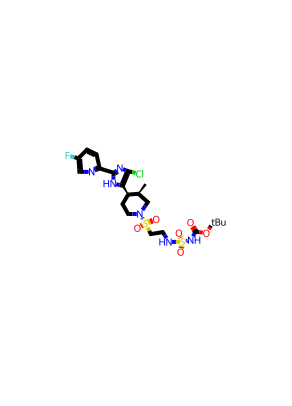 C[C@H]1CN(S(=O)(=O)CCNS(=O)(=O)NC(=O)OC(C)(C)C)CC[C@H]1c1[nH]c(-c2ccc(F)cn2)nc1Cl